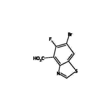 O=C(O)c1c(F)c(Br)cc2scnc12